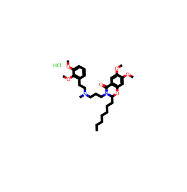 CCCCCCCC1Oc2cc(OC)c(OC)cc2C(=O)N1CCCN(C)CCc1cccc(OC)c1OC.Cl